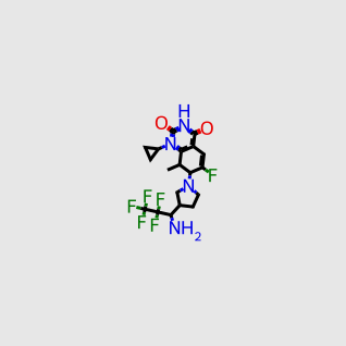 CC1c2c(c(=O)[nH]c(=O)n2C2CC2)C=C(F)C1N1CCC(C(N)C(F)(F)C(F)(F)F)C1